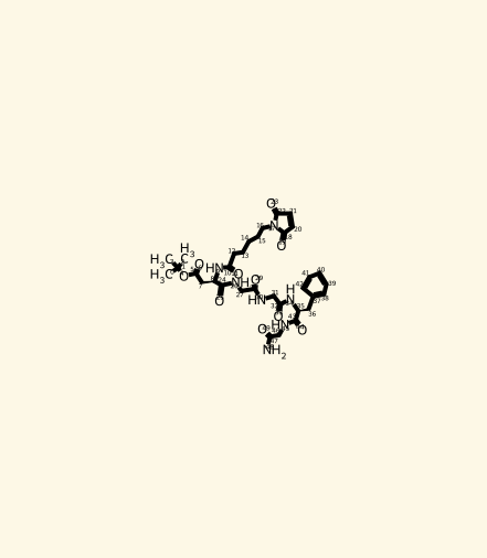 CC(C)(C)OC(=O)C[C@@H](NC(=O)CCCCCN1C(=O)C=CC1=O)C(=O)NCC(=O)NCC(=O)N[C@@H](Cc1ccccc1)C(=O)NCC(N)=O